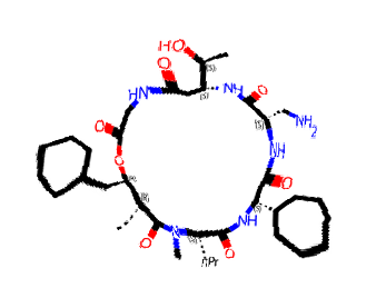 CCC[C@H]1C(=O)N[C@@H](C2CCCCCC2)C(=O)N[C@@H](CN)C(=O)N[C@@H]([C@H](C)O)C(=O)NCC(=O)O[C@H](CC2CCCCC2)[C@@H](C)C(=O)N1C